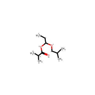 CCC(OCC(C)C)OC(=O)C(C)C